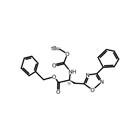 CC(C)(C)OC(=O)N[C@@H](Cc1nc(-c2ccccc2)no1)C(=O)OCc1ccccc1